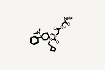 CNC(=O)CNC(=O)CN1C[C@]2(CC[C@@](c3ccccc3)(N(C)C)CC2)N(CC2CCC2)C1=O